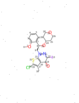 COc1ccccc1[C@H](Cn1nc(I)c(=O)c2c(C)c(Cl)sc21)OC1CCOCC1